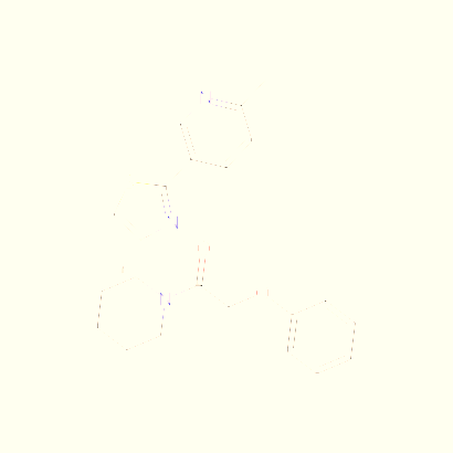 Cc1ccc(-c2nc([C@H]3CCCCN3C(=O)COc3ccccc3)cs2)cn1